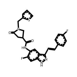 O=C(Nc1cc2c(/C=C/c3ccc(F)cc3)n[nH]c2cc1F)C1CC(=O)N(Cc2cccs2)C1